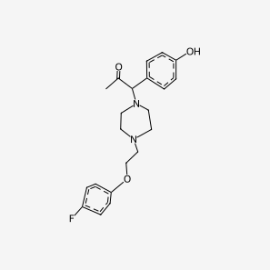 CC(=O)C(c1ccc(O)cc1)N1CCN(CCOc2ccc(F)cc2)CC1